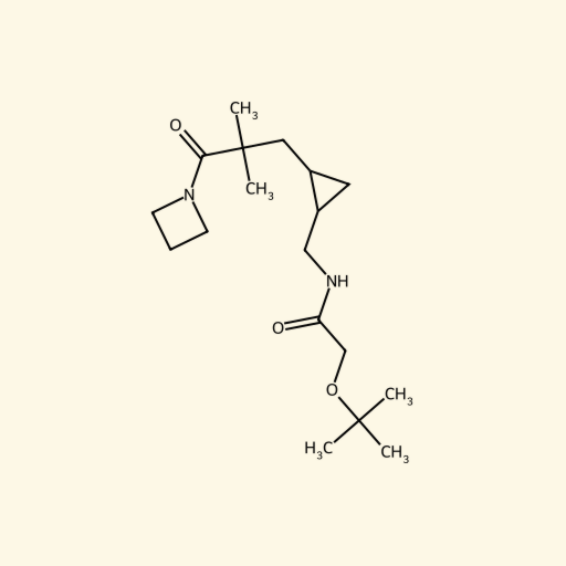 CC(C)(C)OCC(=O)NCC1CC1CC(C)(C)C(=O)N1CCC1